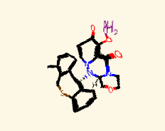 Cc1cccc2c1CSc1ccccc1[C@H]2N1[C@@H]2COCCN2C(=O)c2c(OP)c(=O)ccn21